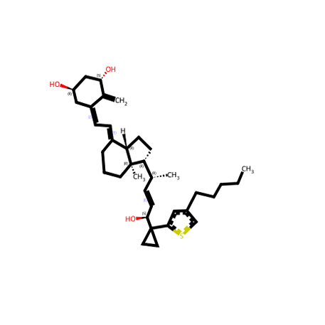 C=C1/C(=C\C=C2/CCC[C@]3(C)[C@@H]([C@H](C)/C=C/[C@H](O)C4(c5cc(CCCCC)cs5)CC4)CC[C@@H]23)C[C@@H](O)C[C@@H]1O